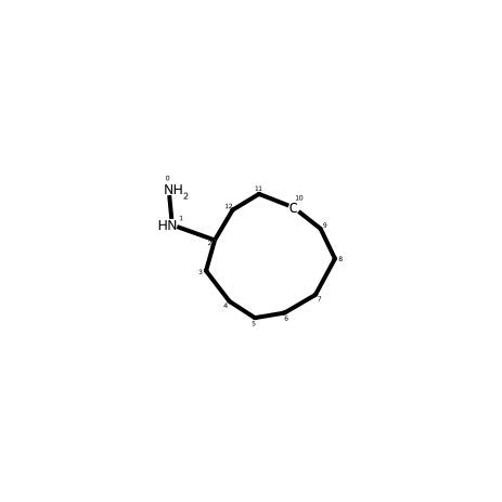 NNC1CCCCCCCCCC1